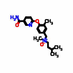 Cc1cc(C[N+](C)([O-])CCC(C)C)ccc1Oc1ccc(C(N)=O)cn1